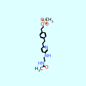 CC(=O)NCCNc1ccc(CCc2ccc(CCOS(C)(=O)=O)cc2)nc1